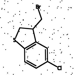 Clc1ccc2c(c1)C(CBr)CS2